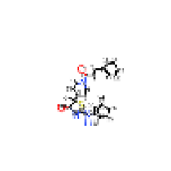 CC1(C2CCN(C(=O)C=Cc3ccccc3)CC2)SC(N[C@H]2C[C@@H]3CC[C@H]2C3)=NC1=O